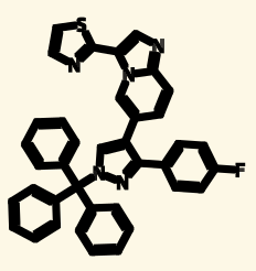 Fc1ccc(-c2nn(C(c3ccccc3)(c3ccccc3)c3ccccc3)cc2-c2ccc3ncc(-c4nccs4)n3c2)cc1